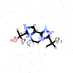 C[C@H]1Cn2c(nnc2C(C)(C)C(F)(F)F)-c2cnc(C(C)(O)C(F)(F)F)n21